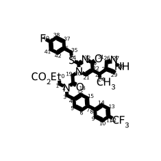 CCOC(=O)CN(Cc1ccc(-c2ccc(C(F)(F)F)cc2)cc1)C(=O)Cn1cc(C(C)c2cn[nH]c2)c(=O)nc1SCc1ccc(F)cc1